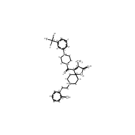 CC1=C(C(=O)N2CCN(c3cccc(C(F)(F)F)c3)CC2)C2(CCN(CCc3ccccc3Cl)CC2)OC1=O